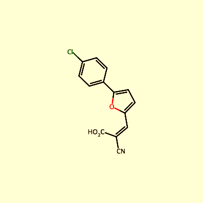 N#CC(=Cc1ccc(-c2ccc(Cl)cc2)o1)C(=O)O